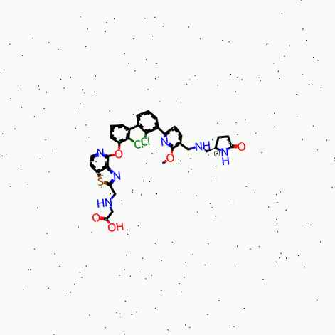 COc1nc(-c2cccc(-c3cccc(Oc4nccc5sc(CNCC(=O)O)nc45)c3Cl)c2Cl)ccc1CNC[C@H]1CCC(=O)N1